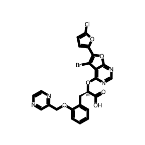 O=C(O)[C@@H](Cc1ccccc1OCc1cnccn1)Oc1ncnc2oc(-c3ccc(Cl)o3)c(Br)c12